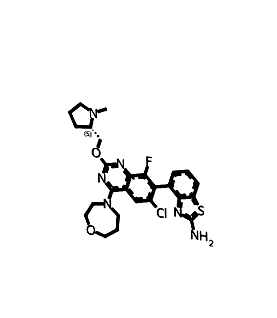 CN1CCC[C@H]1COc1nc(N2CCCOCC2)c2cc(Cl)c(-c3cccc4sc(N)nc34)c(F)c2n1